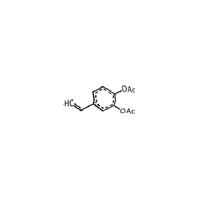 [CH]=Cc1ccc(OC(C)=O)c(OC(C)=O)c1